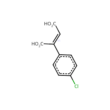 O=C(O)/C=C(\C(=O)O)c1ccc(Cl)cc1